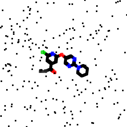 COC(=O)c1cc(Cl)nc(Oc2cnc(N3CCCCC3)nc2)c1